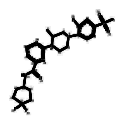 CC1CN(c2ccc(S(C)(=O)=O)cc2F)CCN1c1nccc(C(=O)NC2CCC(F)(F)CC2)n1